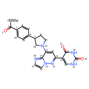 CNC(=O)c1ccc(C2CCN(c3cc(-c4c[nH]c(=O)[nH]c4=O)nn4ccnc34)C2)cc1